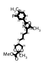 COC(=O)[C@]1(C)OC[C@H](CCCCc2nc(-c3ccc(C)c(F)c3)oc2C)CO1